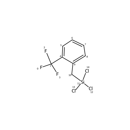 FC(F)(F)c1ccccc1C[Si](Cl)(Cl)Cl